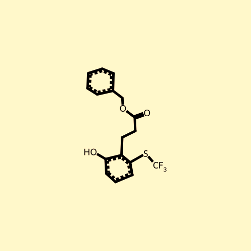 O=C(CCc1c(O)cccc1SC(F)(F)F)OCc1ccccc1